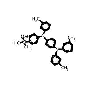 CO[Si](C)(C)c1ccc(N(c2ccc(N(c3cccc(C)c3)c3cccc(C)c3)cc2)c2cccc(C)c2)cc1